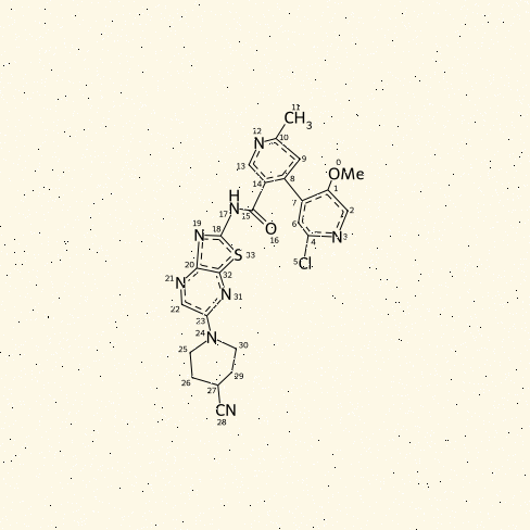 COc1cnc(Cl)cc1-c1cc(C)ncc1C(=O)Nc1nc2ncc(N3CCC(C#N)CC3)nc2s1